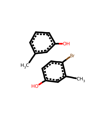 Cc1cc(O)ccc1Br.Cc1cccc(O)c1